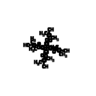 C#Cc1cc(C)c(C(=O)Oc2ccc(C(c3ccc(OC(=O)c4cc(C)c(C#C)cc4C)cc3)(c3ccc(OC(=O)c4cc(C)c(C#C)cc4C)cc3)c3ccc(OC(=O)c4cc(C)c(C#C)cc4C)cc3)cc2)cc1C